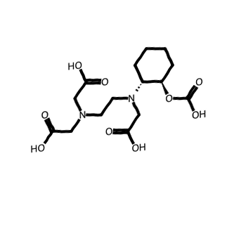 O=C(O)CN(CCN(CC(=O)O)[C@@H]1CCCC[C@H]1OC(=O)O)CC(=O)O